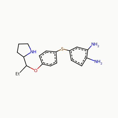 CCC(Oc1ccc(Sc2ccc(N)c(N)c2)cc1)C1CCCN1